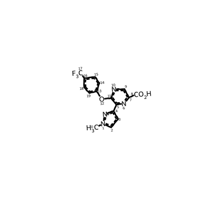 Cn1ccc(-c2nc(C(=O)O)cnc2Oc2ccc(C(F)(F)F)cc2)n1